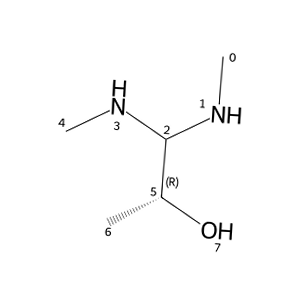 CNC(NC)[C@@H](C)O